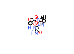 NC(=O)[C@H](C[C@@H]1CCNC1=O)NC(=O)[C@@H]1[C@@H]2[C@H](CN1C(=O)[C@@H]1C[C@]13CCOc1ccccc13)[C@@H]1C=C[C@H]2C1